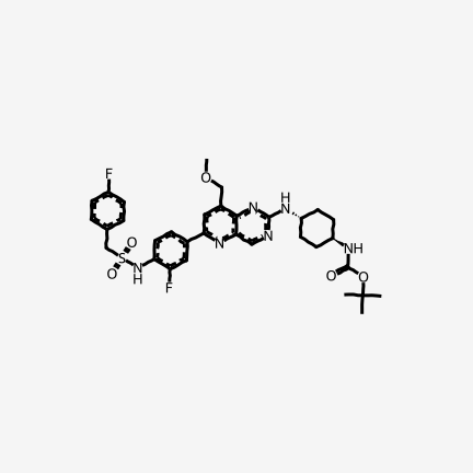 COCc1cc(-c2ccc(NS(=O)(=O)Cc3ccc(F)cc3)c(F)c2)nc2cnc(N[C@H]3CC[C@H](NC(=O)OC(C)(C)C)CC3)nc12